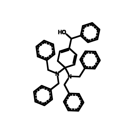 OC(C1=CCC(N(Cc2ccccc2)Cc2ccccc2)(N(Cc2ccccc2)Cc2ccccc2)C=C1)c1ccccc1